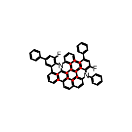 Fc1cc(-c2ccccc2)cc(-c2ccccc2)c1N(c1ccccc1)c1ccc2ccc3ccc(N(c4ccccc4)c4c(F)cc(-c5ccccc5)cc4-c4ccccc4)c4c5ccccc5c1c2c34